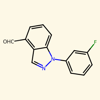 O=Cc1cccc2c1cnn2-c1cccc(F)c1